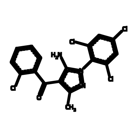 Cc1nn(-c2c(Cl)cc(Cl)cc2Cl)c(N)c1C(=O)c1ccccc1Cl